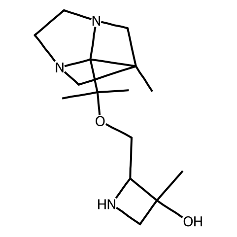 CC1(O)CNC1COC(C)(C)C12N3CCN1CC2(C)C3